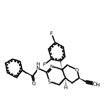 C#C[C@H]1C[C@H]2CSC(NC(=O)c3ccccc3)=N[C@@]2(c2ccc(F)cc2F)CO1